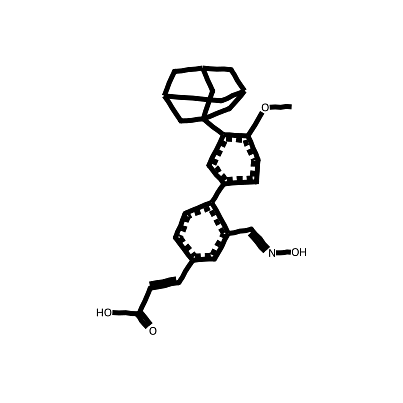 COc1ccc(-c2ccc(C=CC(=O)O)cc2C=NO)cc1C12CC3CC(CC(C3)C1)C2